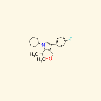 CC(C)c1c(CO)c(-c2ccc(F)cc2)cn1C1CCCCC1